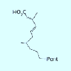 CCCC(C)CCCC(C)CC=CC(C)=CC(=O)O